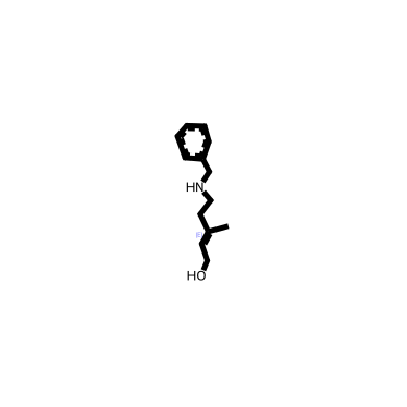 C/C(=C\CO)CCNCc1ccccc1